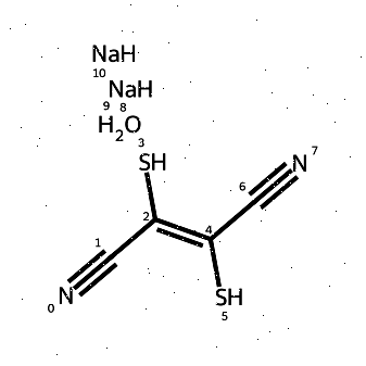 N#CC(S)=C(S)C#N.O.[NaH].[NaH]